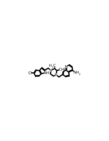 C[C@H]1C(C=O)N(Cc2ccc3c(N)ccnc3c2)CCN1Cc1cc2cc(Cl)ccc2[nH]1